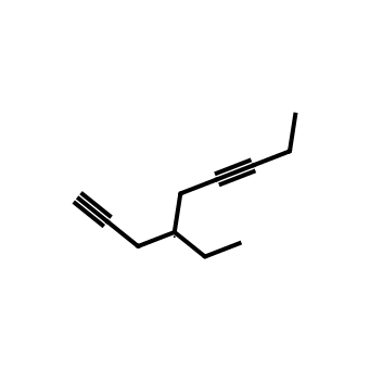 C#CC[C](CC)CC#CCC